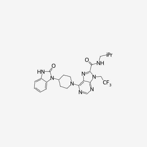 CC(C)CNC(=O)c1nc2c(N3CCC(n4c(=O)[nH]c5ccccc54)CC3)ncnc2n1CC(F)(F)F